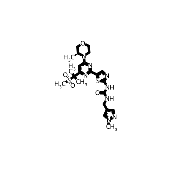 C[C@H]1COCCN1c1cc(C(C)(C)S(C)(=O)=O)nc(-c2cnc(NC(=O)NCc3cnn(C)c3)s2)n1